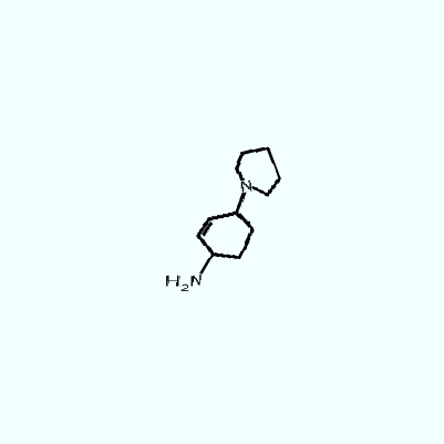 NC1C=CC(N2CCCCC2)CC1